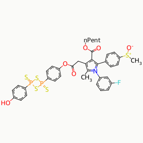 CCCCCOC(=O)c1c(CC(=O)Oc2ccc(P3(=S)SP(=S)(c4ccc(O)cc4)S3)cc2)c(C)n(-c2cccc(F)c2)c1-c1ccc([S+](C)[O-])cc1